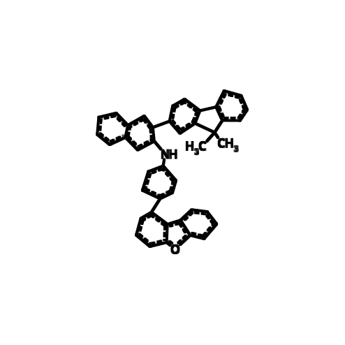 CC1(C)c2ccccc2-c2ccc(-c3cc4ccccc4cc3Nc3ccc(-c4cccc5oc6ccccc6c45)cc3)cc21